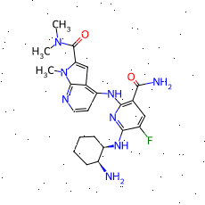 CN(C)C(=O)c1cc2c(Nc3nc(N[C@@H]4CCCC[C@@H]4N)c(F)cc3C(N)=O)ccnc2n1C